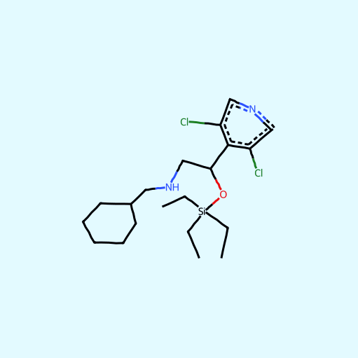 CC[Si](CC)(CC)OC(CNCC1CCCCC1)c1c(Cl)cncc1Cl